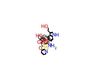 CC1(Oc2ccc3[nH]cc(CCO)c3c2)O[C@]2(C(=O)[SH](=S)(CCN)c3ccccn3)OC(C)(C1(C)O)C2(C)O